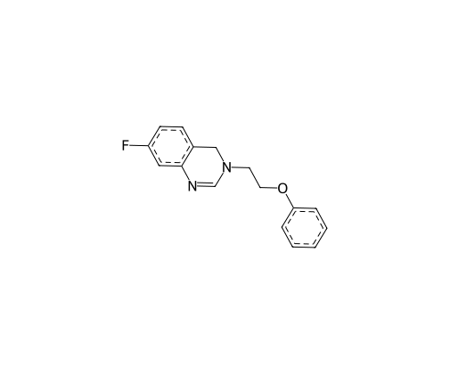 Fc1ccc2c(c1)N=CN(CCOc1ccccc1)C2